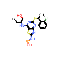 CC(C)CC(CO)Nc1nc(SC(C)c2ccccc2Cl)nc2nc(NPO)sc12